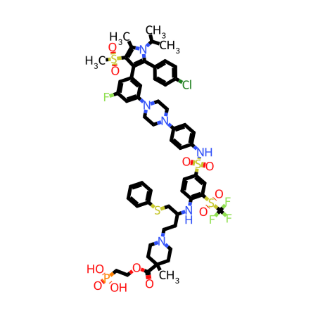 Cc1c(S(C)(=O)=O)c(-c2cc(F)cc(N3CCN(c4ccc(NS(=O)(=O)c5ccc(NC(CCN6CCC(C)(C(=O)OCCP(=O)(O)O)CC6)CSc6ccccc6)c(S(=O)(=O)C(F)(F)F)c5)cc4)CC3)c2)c(-c2ccc(Cl)cc2)n1C(C)C